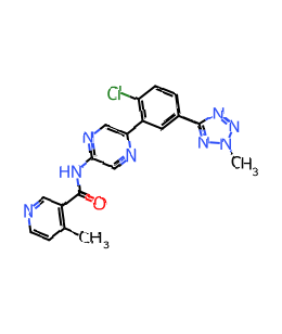 Cc1ccncc1C(=O)Nc1cnc(-c2cc(-c3nnn(C)n3)ccc2Cl)cn1